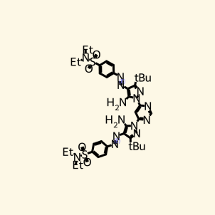 CCN(CC)S(=O)(=O)c1ccc(/N=N/c2c(C(C)(C)C)nn(-c3cc(-n4nc(C(C)(C)C)c(/N=N/c5ccc(S(=O)(=O)N(CC)CC)cc5)c4N)ncn3)c2N)cc1